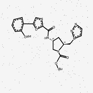 COc1ccccc1-c1cnc(C(=O)N[C@@H]2C[C@@H](Cn3ccnn3)N(C(=O)OC(C)(C)C)C2)o1